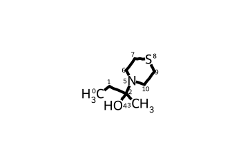 CCC(C)(O)N1CCSCC1